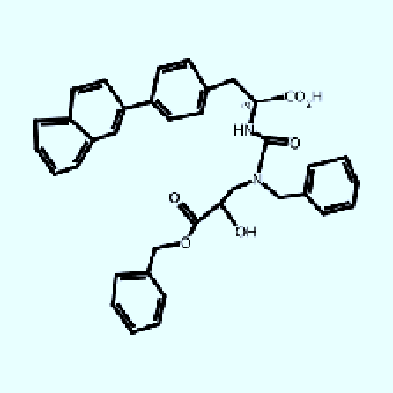 O=C(OCc1ccccc1)C(O)CN(Cc1ccccc1)C(=O)N[C@@H](Cc1ccc(-c2ccc3ccccc3c2)cc1)C(=O)O